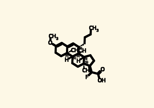 CCCC[C@H]1C=C2C=C(OC)CC[C@]2(C)[C@H]2CC[C@]3(C)C(=C(F)C(=O)O)CC[C@H]3[C@H]12